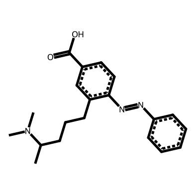 CC(CCCc1cc(C(=O)O)ccc1N=Nc1ccccc1)N(C)C